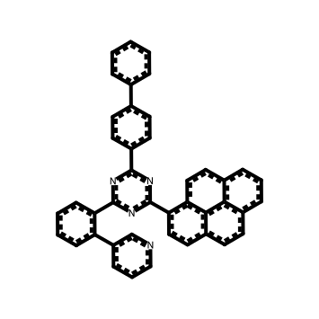 c1ccc(-c2ccc(-c3nc(-c4ccccc4-c4cccnc4)nc(-c4ccc5ccc6cccc7ccc4c5c67)n3)cc2)cc1